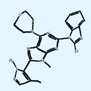 CCc1nc2ccccc2n1-c1nc(N2CCOCC2)c2nc(-c3c(C)cnn3C(C)C)n(C)c2n1